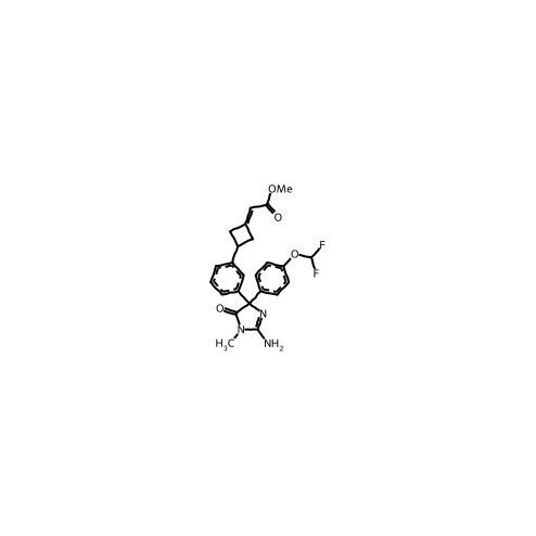 COC(=O)C=C1CC(c2cccc(C3(c4ccc(OC(F)F)cc4)N=C(N)N(C)C3=O)c2)C1